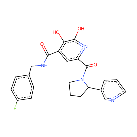 O=C(NCc1ccc(F)cc1)c1cc(C(=O)N2CCCC2c2cccnc2)nc(O)c1O